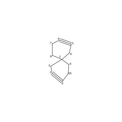 C1#CCC2(CC#CCC2)CC1